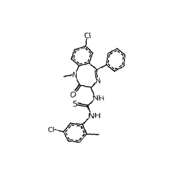 Cc1ccc(Cl)cc1NC(=S)NC1N=C(c2ccccc2)c2cc(Cl)ccc2N(C)C1=O